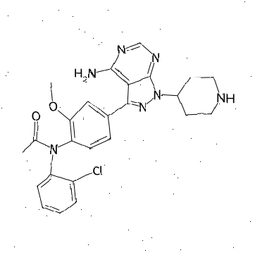 COc1cc(-c2nn(C3CCNCC3)c3ncnc(N)c23)ccc1N(C(C)=O)c1ccccc1Cl